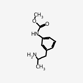 COC(=O)Nc1cccc(CC(C)N)c1